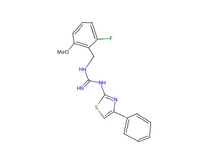 COc1cccc(F)c1CNC(=N)Nc1nc(-c2ccccc2)cs1